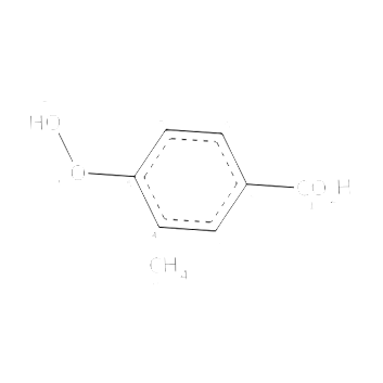 C.O=C(O)c1ccc(OO)cc1